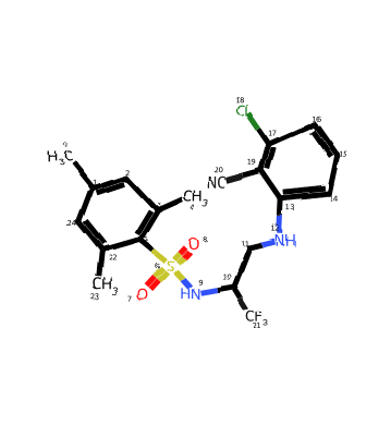 Cc1cc(C)c(S(=O)(=O)NC(CNc2cccc(Cl)c2C#N)C(F)(F)F)c(C)c1